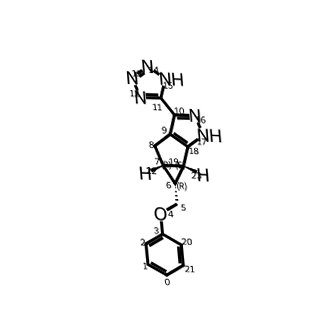 c1ccc(OC[C@@H]2[C@@H]3Cc4c(-c5nnn[nH]5)n[nH]c4[C@H]23)cc1